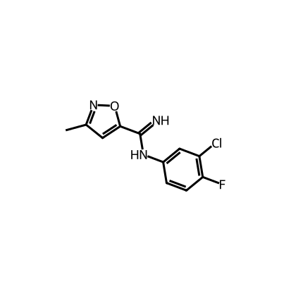 Cc1cc(C(=N)Nc2ccc(F)c(Cl)c2)on1